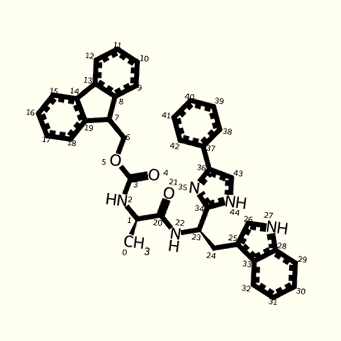 C[C@@H](NC(=O)OCC1c2ccccc2-c2ccccc21)C(=O)N[C@H](Cc1c[nH]c2ccccc12)c1nc(-c2ccccc2)c[nH]1